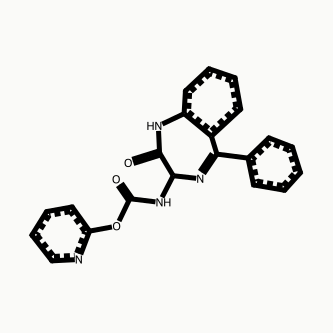 O=C(NC1N=C(c2ccccc2)c2ccccc2NC1=O)Oc1ccccn1